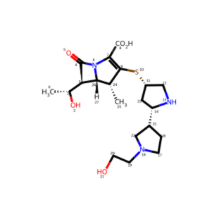 C[C@@H](O)[C@H]1C(=O)N2C(C(=O)O)=C(S[C@@H]3CN[C@H](C4CCN(CCO)C4)C3)[C@H](C)[C@H]12